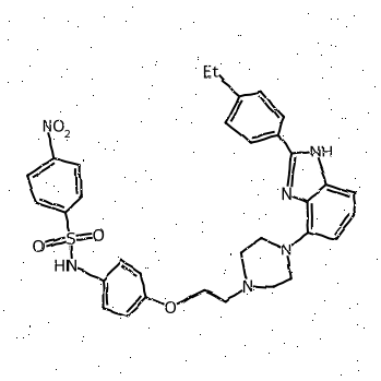 CCc1ccc(-c2nc3c(N4CCN(CCOc5ccc(NS(=O)(=O)c6ccc([N+](=O)[O-])cc6)cc5)CC4)cccc3[nH]2)cc1